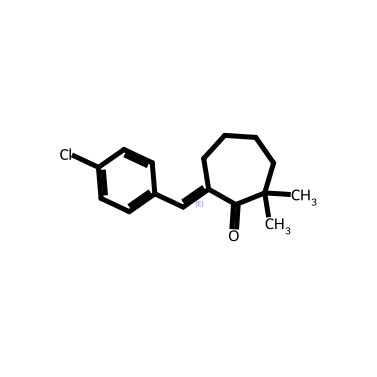 CC1(C)CCCC/C(=C\c2ccc(Cl)cc2)C1=O